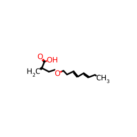 C=C(CCOCCC=CC=CCC)C(=O)O